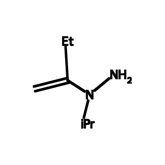 C=C(CC)N(N)C(C)C